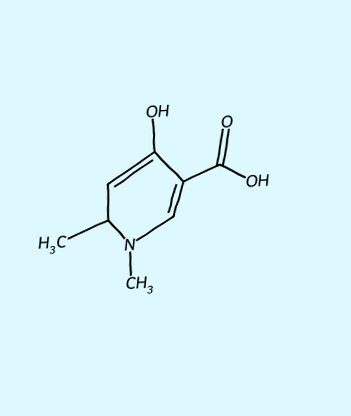 CC1C=C(O)C(C(=O)O)=CN1C